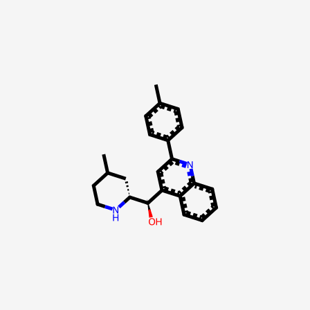 Cc1ccc(-c2cc([C@@H](O)[C@H]3CC(C)CCN3)c3ccccc3n2)cc1